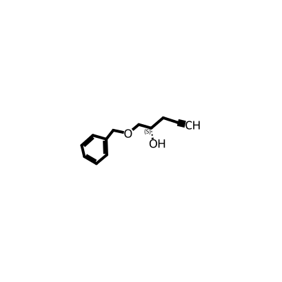 C#CC[C@H](O)COCc1ccccc1